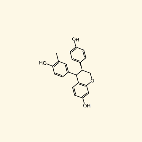 Cc1cc(C2c3ccc(O)cc3OC[C@@H]2c2ccc(O)cc2)ccc1O